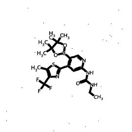 CCNC(=O)Nc1cc(-c2nc(C(F)(F)F)c(C)s2)c(B2OC(C)(C)C(C)(C)O2)cn1